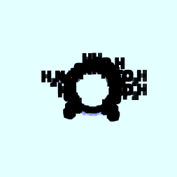 CC1NC(=O)[C@H](CC(=O)O)NC(=O)C(C(C)C)NC(=O)[C@H](CCC(=O)O)NC(=O)C(CC(=O)O)NNC(=O)CC[N+]2=C(/C=C/C=C/C=C/C=C3\N(CCC(=O)NN[C@@H](CCCCN)C(=O)C(=O)[C@@H]4CCCN4C1=O)c1ccc4ccccc4c1C3(C)C)C(C)(C)c1c2ccc2ccccc12